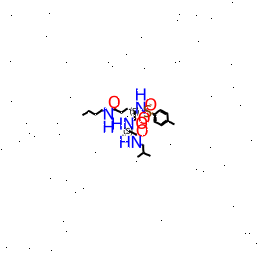 CCCCNC(=O)CC[C@H](NS(=O)(=O)c1ccc(C)cc1)C(=O)N[C@@H](C)C(=O)NCC(C)C